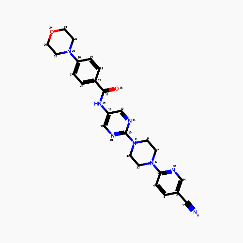 N#Cc1ccc(N2CCN(c3ncc(NC(=O)c4ccc(N5CCOCC5)cc4)cn3)CC2)nc1